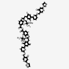 COC(C)(C)Cn1c(Cc2cc(F)c(-c3cccc(OCc4cnc(-n5ccnn5)cc4Cl)n3)cc2F)nc2ccc(C(=O)OC(=O)c3ccc4nc(Cc5cc(F)c(-c6cccc(OCc7cnc(-n8ccnn8)cc7Cl)n6)cc5F)n(CC(C)(C)OC)c4c3)cc21